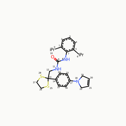 CC(C)c1cccc(C(C)C)c1NC(=O)NCC1(c2ccc(N3CC=CC3)cc2)SCCS1